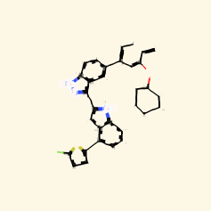 C=C/C(=C\C(=C/C)c1ccc2[nH]nc(-c3cc4c(-c5ccc(F)s5)cccc4[nH]3)c2c1)OC1CCCCC1